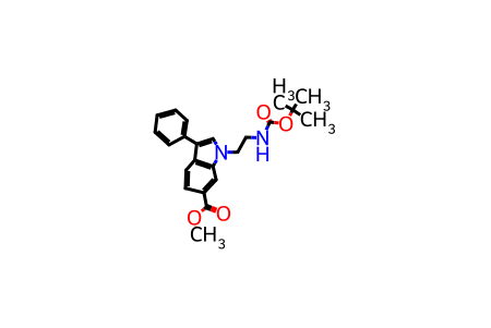 COC(=O)c1ccc2c(-c3ccccc3)cn(CCNC(=O)OC(C)(C)C)c2c1